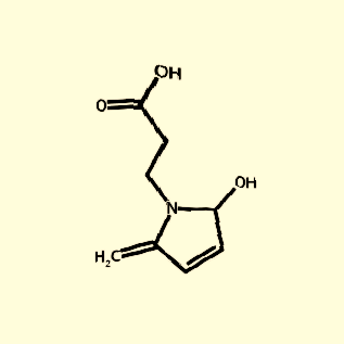 C=C1C=CC(O)N1CCC(=O)O